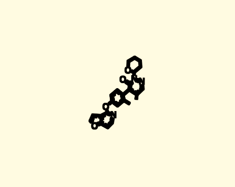 Cc1cc(Oc2nccc3occc23)ccc1-c1c(C)cnn(C2CCCCO2)c1=O